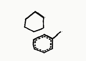 [CH2]c1ccccc1.[CH]1CCCCC1